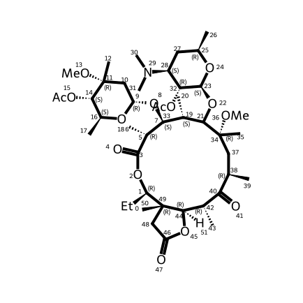 CC[C@H]1OC(=O)[C@H](C)[C@@H](O[C@H]2C[C@@](C)(OC)[C@@H](OC(C)=O)[C@H](C)O2)[C@H](C)C(O[C@@H]2O[C@H](C)C[C@H](N(C)C)[C@H]2OC(C)=O)[C@](C)(OC)C[C@@H](C)C(=O)[C@H](C)[C@H]2OC(=O)C[C@@]21C